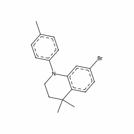 Cc1ccc(N2CCC(C)(C)c3ccc(Br)cc32)cc1